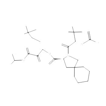 CC(C)NC(=O)C(=O)[C@H](CCC(C)(F)F)NC(=O)[C@@H]1CC2(CCCCC2)CN1C(=O)[C@@H](NC(=O)O)C(C)(C)C